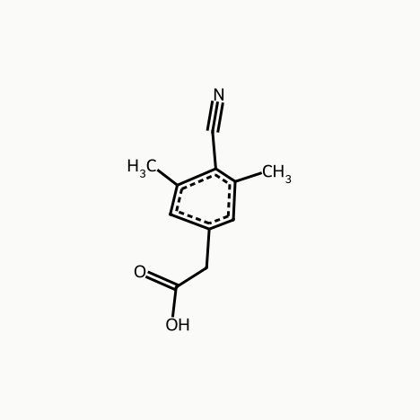 Cc1cc(CC(=O)O)cc(C)c1C#N